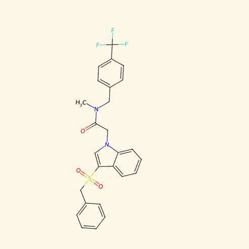 CN(Cc1ccc(C(F)(F)F)cc1)C(=O)Cn1cc(S(=O)(=O)Cc2ccccc2)c2ccccc21